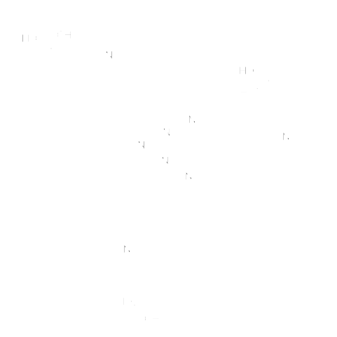 CC1(C)c2ccccc2-c2ccc(-n3c4ccccc4c4cc(-c5ccc6c7ccccc7n(-c7cc(-n8c9ccccc9c9ccc(-c%10ccc%11c(c%10)c%10ccccc%10n%11-c%10ccc%11c(c%10)C(C)(C)c%10ccccc%10-%11)cc98)nc(-n8c9ccccc9c9ccc(-c%10ccc%11c(c%10)c%10ccccc%10n%11-c%10ccc%11c(c%10)C(C)(C)c%10ccccc%10-%11)cc98)n7)c6c5)ccc43)cc21